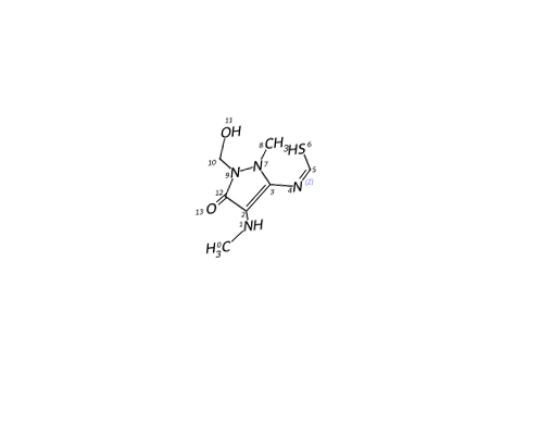 CNc1c(/N=C\S)n(C)n(CO)c1=O